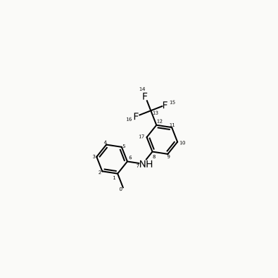 Cc1ccccc1Nc1cccc(C(F)(F)F)c1